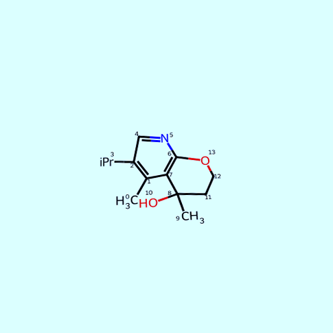 Cc1c(C(C)C)cnc2c1C(C)(O)CCO2